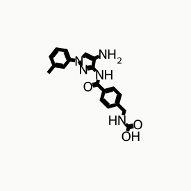 Cc1cccc(-n2cc(N)c(NC(=O)c3ccc(CNC(=O)O)cc3)n2)c1